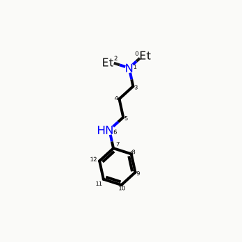 CCN(CC)CCCNc1[c]cccc1